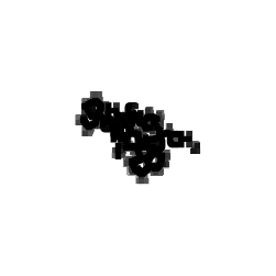 C=CC(=O)N1CCC(N(C)c2nc(OCC34CCCN3CCC4)nc3c(F)c(-c4cccc5cccc(Cl)c45)ncc23)C1